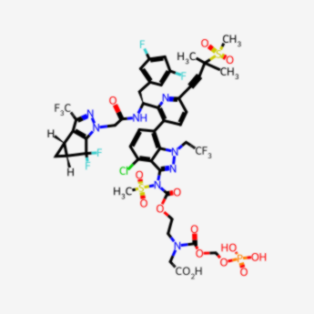 CC(C)(C#Cc1ccc(-c2ccc(Cl)c3c(N(C(=O)OCCN(CC(=O)O)C(=O)OCOP(=O)(O)O)S(C)(=O)=O)nn(CC(F)(F)F)c23)c([C@H](Cc2cc(F)cc(F)c2)NC(=O)Cn2nc(C(F)(F)F)c3c2C(F)(F)[C@@H]2C[C@H]32)n1)S(C)(=O)=O